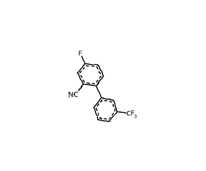 N#Cc1cc(F)ccc1-c1cc[c]c(C(F)(F)F)c1